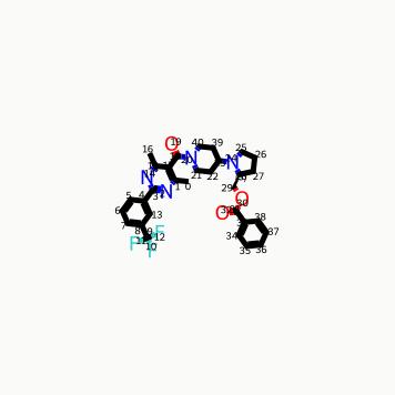 Cc1nc(-c2cccc(C(F)(F)F)c2)nc(C)c1C(=O)N1CCC(N2CCC[C@H]2COC(=O)c2ccccc2)CC1